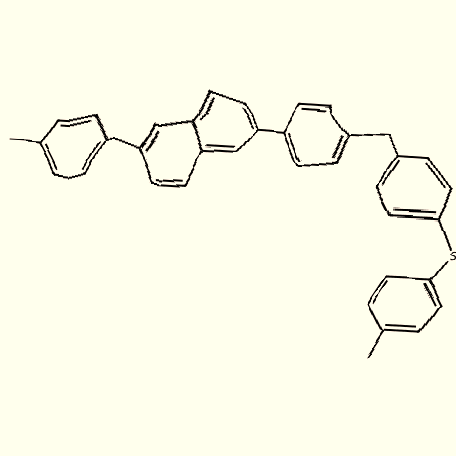 Cc1ccc(Sc2ccc(Cc3ccc(-c4ccc5cc(-c6ccc(C)cc6)ccc5c4)cc3)cc2)cc1